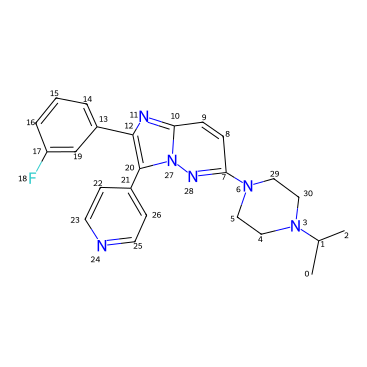 CC(C)N1CCN(c2ccc3nc(-c4cccc(F)c4)c(-c4ccncc4)n3n2)CC1